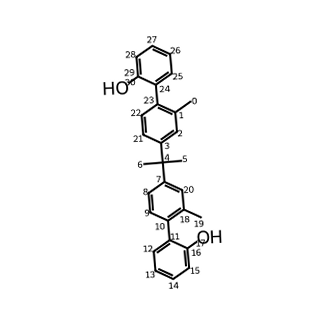 Cc1cc(C(C)(C)c2ccc(-c3ccccc3O)c(C)c2)ccc1-c1ccccc1O